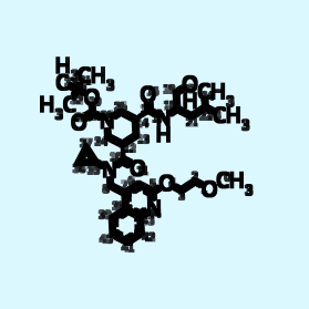 COCCOc1cc(CN(C(=O)[C@@H]2C[C@H](C(=O)NC(CO)CC(C)C)CN(C(=O)OC(C)(C)C)C2)C2CC2)c2ccccc2n1